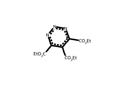 CCOC(=O)c1nnnc(C(=O)OCC)c1C(=O)OCC